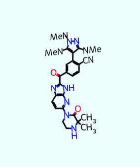 CNc1nn(NC)c(NC)c1-c1cc(C(=O)c2nc3ccc(N4CCNC(C)(C)C4=O)nc3[nH]2)ccc1C#N